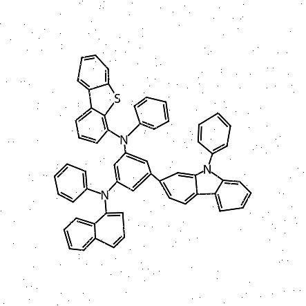 c1ccc(N(c2cc(-c3ccc4c5ccccc5n(-c5ccccc5)c4c3)cc(N(c3ccccc3)c3cccc4c3sc3ccccc34)c2)c2cccc3ccccc23)cc1